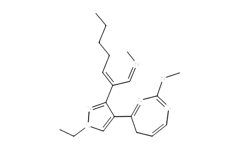 CCCCC=C(/C=N\C)c1nn(CC)cc1C1=NC(NC)=NC=CC1